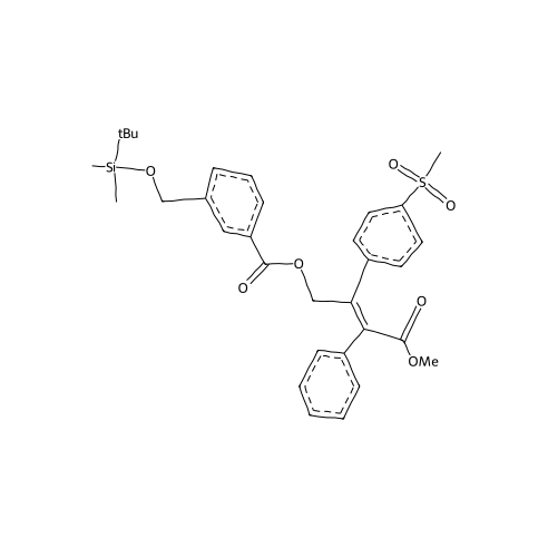 COC(=O)C(=C(COC(=O)c1cccc(CO[Si](C)(C)C(C)(C)C)c1)c1ccc(S(C)(=O)=O)cc1)c1ccccc1